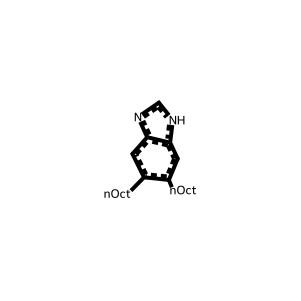 CCCCCCCCc1cc2nc[nH]c2cc1CCCCCCCC